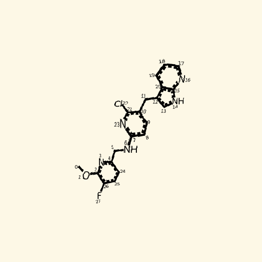 COc1nc(CNc2ccc(Cc3c[nH]c4ncccc34)c(Cl)n2)ccc1F